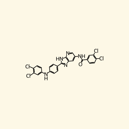 O=C(Nc1cnc2[nH]c(-c3ccc(Nc4ccc(Cl)c(Cl)c4)cc3)nc2c1)c1ccc(Cl)c(Cl)c1